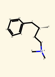 C[C@H](CCN(C)C)Cc1ccccc1